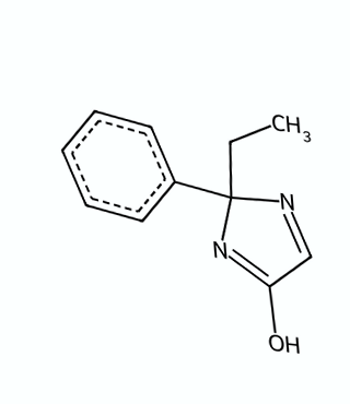 CCC1(c2ccccc2)N=CC(O)=N1